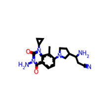 Cc1c(N2CCC(C(N)CC#N)C2)ccc2c(=O)n(N)c(=O)n(C3CC3)c12